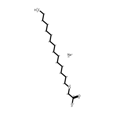 CCCCCCCCCCCCCCCOCC(=O)[O-].[Na+]